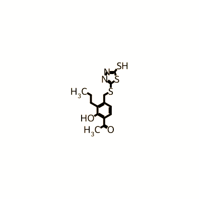 CCCc1c(CSc2nnc(S)s2)ccc(C(C)=O)c1O